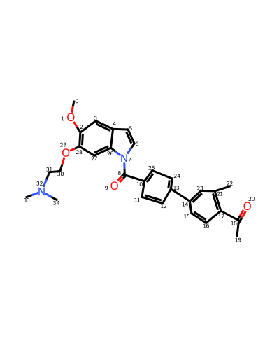 COc1cc2ccn(C(=O)c3ccc(-c4ccc(C(C)=O)c(C)c4)cc3)c2cc1OCCN(C)C